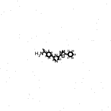 C=C(N)c1ccc(-c2cncc(-c3nnc(-c4ccccc4)o3)n2)cc1